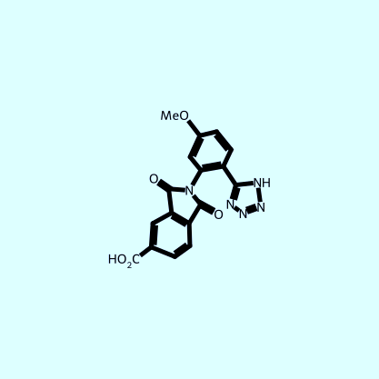 COc1ccc(-c2nnn[nH]2)c(N2C(=O)c3ccc(C(=O)O)cc3C2=O)c1